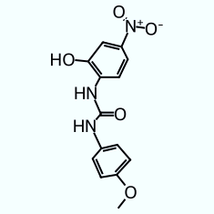 COc1ccc(NC(=O)Nc2ccc([N+](=O)[O-])cc2O)cc1